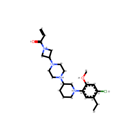 C=CC(=O)N1CC(N2CCN(C3CCCN(c4cc(CC)c(Cl)cc4OC)C3)CC2)C1